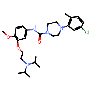 COc1ccc(NC(=O)N2CCN(c3cc(Cl)ccc3C)CC2)cc1OCCN(C(C)C)C(C)C